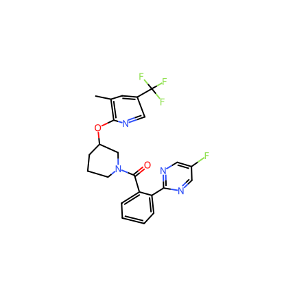 Cc1cc(C(F)(F)F)cnc1OC1CCCN(C(=O)c2ccccc2-c2ncc(F)cn2)C1